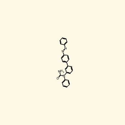 NC(=O)N(c1ccccc1)c1cc[c]c(-c2ccc(N=Nc3ccccc3)cc2)c1